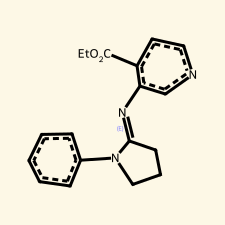 CCOC(=O)c1ccncc1/N=C1\CCCN1c1ccccc1